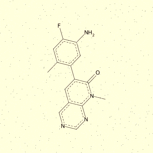 Cc1cc(F)c(N)cc1-c1cc2cncnc2n(C)c1=O